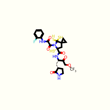 O=C(Nc1ccccc1F)C(=O)N1C(S)(S)C2(CC2)C[C@@]1(S)C(=O)N[C@@H](C[C@@H]1CCNC1=O)C(=O)COC(F)(F)F